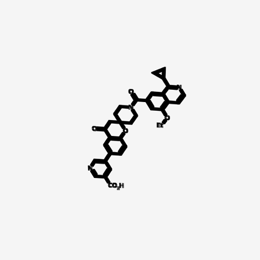 CCOc1cc(C(=O)N2CCC3(CC2)CC(=O)c2cc(-c4cncc(C(=O)O)c4)ccc2O3)cc2c(C3CC3)nccc12